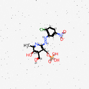 Cc1nc(/N=N/c2cc([N+](=O)[O-])ccc2Cl)c(COP(=O)(O)O)c(C=O)c1O